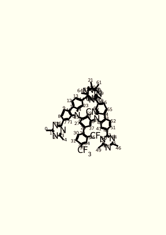 Cc1nc(C)nc(-c2ccc3c4ccc(-c5nc(C)nc(C)n5)cc4n(-c4cc(-c5ccc(C(F)(F)F)cc5C(F)(F)F)cc(-n5c6cc(-c7nc(C)nc(C)n7)ccc6c6ccc(-c7nc(C)nc(C)n7)cc65)c4C#N)c3c2)n1